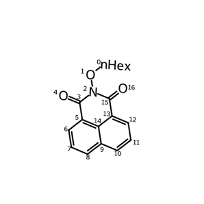 CCCCCCON1C(=O)c2cccc3cccc(c23)C1=O